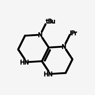 CC(C)N1CCNC2=C1N(C(C)(C)C)CCN2